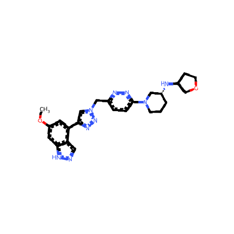 COc1cc(-c2cn(Cc3ccc(N4CCC[C@@H](NC5CCOC5)C4)nn3)nn2)c2cn[nH]c2c1